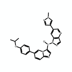 CC(C)Oc1ccc(-c2ccc3ncc([S+]([O-])n4ncc5ncc(-c6cnn(C)c6)cc54)n3c2)cc1